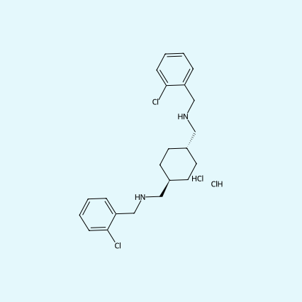 Cl.Cl.Clc1ccccc1CNC[C@H]1CC[C@H](CNCc2ccccc2Cl)CC1